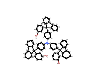 Brc1cccc(C2(c3ccc(N(c4ccc(C5(c6cccc(Br)c6)c6ccccc6-c6ccccc65)cc4)c4ccc(C5(c6cccc(Br)c6)c6ccccc6-c6ccccc65)cc4)cc3)c3ccccc3-c3ccccc32)c1